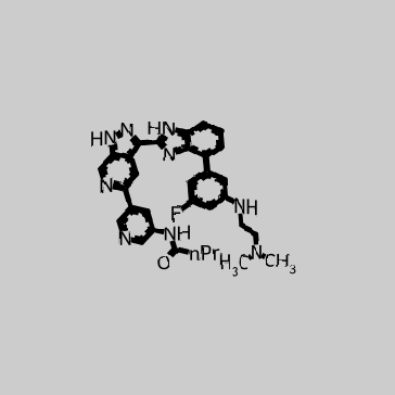 CCCC(=O)Nc1cncc(-c2cc3c(-c4nc5c(-c6cc(F)cc(NCCN(C)C)c6)cccc5[nH]4)n[nH]c3cn2)c1